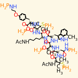 CC(=O)NCCCC[C@H](NC(=O)[C@H](Cc1c[nH]c2c(C)cccc12)NC(=O)[C@@H](NC(=O)[C@H](CC(=O)NP)NC(=O)[C@@H](NC(C)=O)C(C)(C)SP)[C@@H](C)OP)C(=O)N[C@H](C(=O)N[C@@H](Cc1ccc(OCCNP)cc1)C(=O)OP)C(C)(C)SP